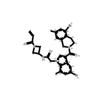 C=CC(=O)N1CC(NC(=O)Cn2cc(C(=O)N3CCc4c(Br)cc(C)cc4C3)c3cc(Br)cc(C)c32)C1